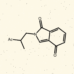 CC(=O)C(C)CN1C=C2C(=O)C=CC=C2C1=O